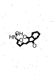 O=C1C(=Cc2ccc(NO)o2)C(=O)c2ccccc21